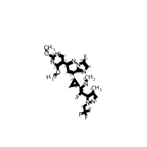 C=N/C(=C(/F)c1c(C)cnn1CC(F)(F)F)[C@H]1C[C@@H]1c1cc(-c2cnc(OC)nc2OC)nn2c(F)cnc12